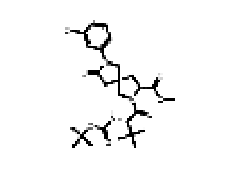 COC(=O)[C@@H]1C[C@]2(CC(=O)N(c3cccc(Cl)c3)C2)CN1C(=O)[C@@H](NC(=O)OC(C)(C)C)C(C)(C)C